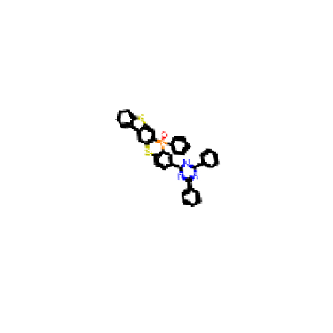 O=P1(c2ccccc2)c2cc(-c3nc(-c4ccccc4)nc(-c4ccccc4)n3)ccc2Sc2cc3c(cc21)sc1ccccc13